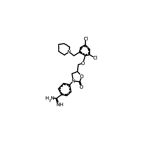 N=C(N)c1ccc(N2CC(COc3c(Cl)cc(Cl)cc3CN3CCCCC3)OC2=O)cc1